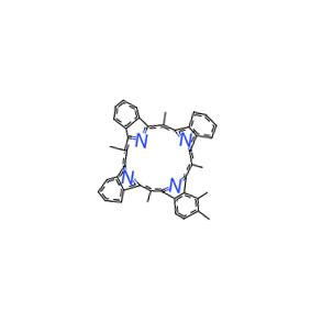 Cc1ccc2c(c1C)-c1nc-2c(C)c2c3ccccc3c(c(C)c3nc(c(C)c4c5ccccc5c(c1C)n4C)-c1ccccc1-3)n2C